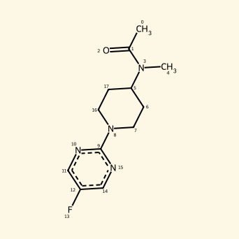 CC(=O)N(C)C1CCN(c2ncc(F)cn2)CC1